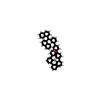 c1ccc(-c2cccc(-c3ccccc3)c2-n2c3ccccc3c3ccc(-c4ccc(-c5cccc(C(c6cccc7ccccc67)c6cccc7ccccc67)c5)cc4)cc32)cc1